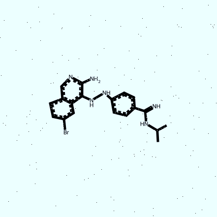 CC(C)NC(=N)c1ccc(NNc2c(N)ncc3ccc(Br)cc23)cc1